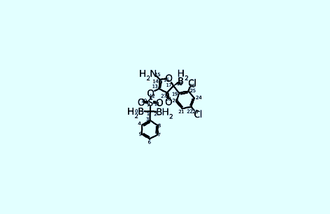 BC(B)(c1ccccc1)S(=O)(=O)OC1=C(N)O[C@](B)(c2ccc(Cl)cc2Cl)C1=O